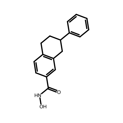 O=C(NO)c1ccc2c(c1)CC(c1ccccc1)CC2